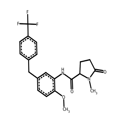 COc1ccc(Cc2ccc(C(F)(F)F)cc2)cc1NC(=O)C1CCC(=O)N1C